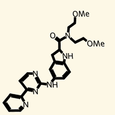 COCCN(CCOC)C(=O)C1Cc2cc(Nc3nccc(-c4ccccn4)n3)ccc2N1